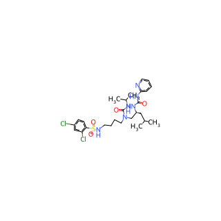 CC(C)C[C@@H](CN(CCCCNS(=O)(=O)c1ccc(Cl)cc1Cl)C(=O)NC(C)C)NC(=O)Nc1ccccn1